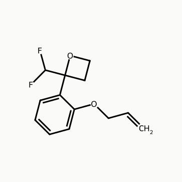 C=CCOc1ccccc1C1(C(F)F)CCO1